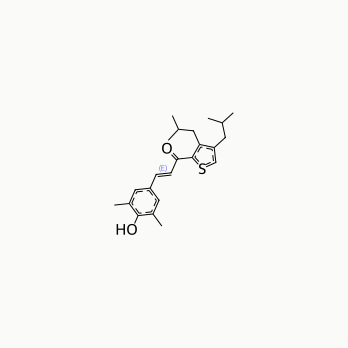 Cc1cc(/C=C/C(=O)c2scc(CC(C)C)c2CC(C)C)cc(C)c1O